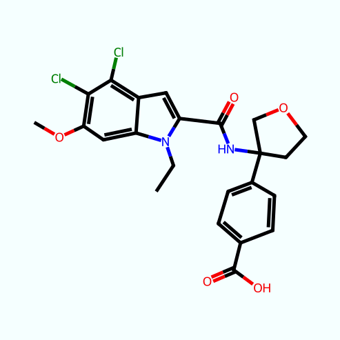 CCn1c(C(=O)NC2(c3ccc(C(=O)O)cc3)CCOC2)cc2c(Cl)c(Cl)c(OC)cc21